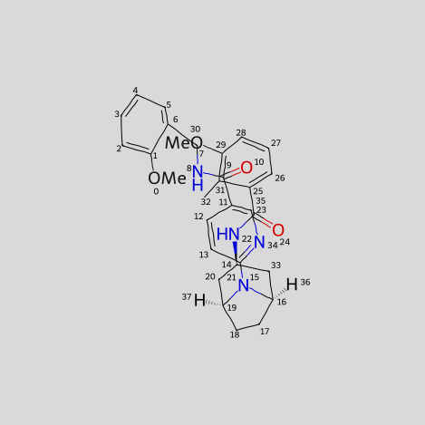 COc1ccccc1CNC(=O)c1ccc(N2[C@@H]3CC[C@H]2C[C@@H](NC(=O)c2cccc(OC)c2C)C3)nc1